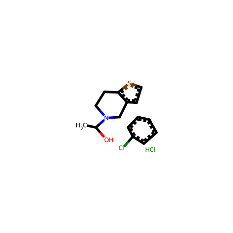 CC(O)N1CCc2sccc2C1.Cl.Clc1ccccc1